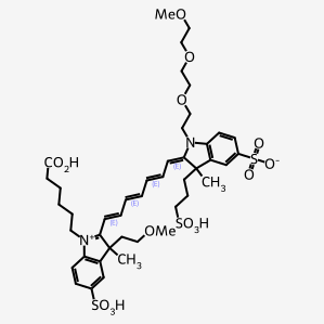 COCCOCCOCCN1/C(=C/C=C/C=C/C=C/C2=[N+](CCCCCC(=O)O)c3ccc(S(=O)(=O)O)cc3C2(C)CCOC)C(C)(CCCS(=O)(=O)O)c2cc(S(=O)(=O)[O-])ccc21